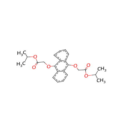 CC(C)OC(=O)COc1c2ccccc2c(OCC(=O)OC(C)C)c2ccccc12